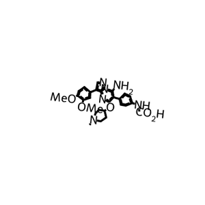 COc1ccc(-c2cnn3c(N)c(-c4ccc(NC(=O)O)cc4)c(OC4CCN(C)CC4)nc23)cc1OC